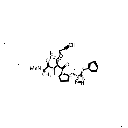 C#CCO[C@H](C)C(NC(=O)[C@H](C)NC)C(=O)N1CCC[C@H]1Cn1nnnc1Sc1ccccc1